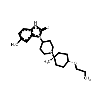 CCCO[C@H]1CC[C@@](C)(N2CCC(n3c(=O)[nH]c4ccc(C)cc43)CC2)CC1